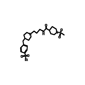 CCS(=O)(=O)c1ccc(CC2CCN(CCCNC(=O)C3CCN(S(C)(=O)=O)CC3)CC2)cc1